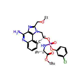 CCOCc1nc2c(N)nc3ccccc3c2n1C[C@@H](C)OP(=O)(N[C@H](C(=O)OC(C)(C)C)C(C)C)Oc1cccc(Cl)c1